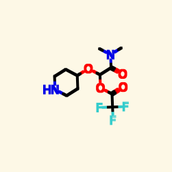 CN(C)C(=O)C(OC(=O)C(F)(F)F)OC1CCNCC1